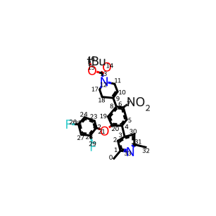 Cc1cc(-c2cc([N+](=O)[O-])c(C3=CCN(C(=O)OC(C)(C)C)CC3)cc2Oc2ccc(F)cc2F)cc(C)n1